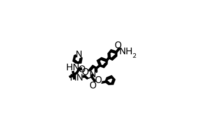 CC(C)(C)[C@H](NC(=O)C[C@H](C(=O)OCc1ccccc1)n1ccc(-c2ccc(-c3ccc(C(N)=O)cc3)cc2)c1)C(=O)Nc1ccncc1